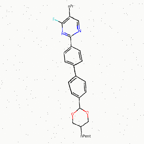 CCCCCC1COC(c2ccc(-c3ccc(-c4ncc(CCC)c(F)n4)cc3)cc2)OC1